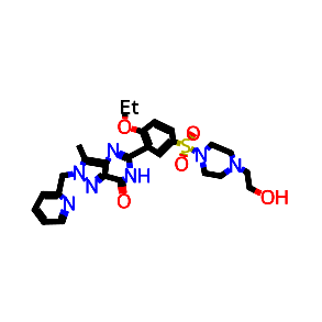 CCOc1ccc(S(=O)(=O)N2CCN(CCO)CC2)cc1-c1nc2c(C)n(Cc3ccccn3)nc2c(=O)[nH]1